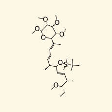 CC[C@H](OC)[C@@H](C)/C=C/C(O[Si](C)(C)C(C)(C)C)[C@@H](C)/C=C/C=C(\C)[C@H]1O[C@H](OC)[C@H](OC)[C@@H](OC)[C@@H]1OC